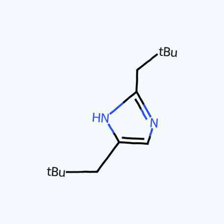 CC(C)(C)Cc1cnc(CC(C)(C)C)[nH]1